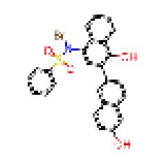 O=S(=O)(c1ccccc1)N(Br)c1cc(-c2ccc3cc(O)ccc3c2)c(O)c2ccccc12